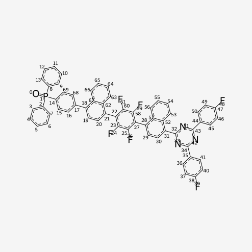 O=P(c1ccccc1)(c1ccccc1)c1ccc(-c2ccc(-c3c(F)c(F)c(-c4ccc(-c5nc(-c6ccc(F)cc6)nc(-c6ccc(F)cc6)n5)c5ccccc45)c(F)c3F)c3ccccc23)cc1